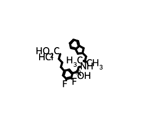 CC(C)(CC1Cc2ccccc2C1)NC[C@@H](O)c1cc(CCCCC(=O)O)cc(F)c1F.Cl